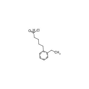 CCc1ccccc1CCCC[PH](=O)Cl